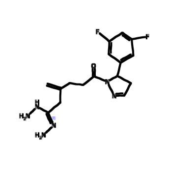 C=C(CCC(=O)N1N=CCC1c1cc(F)cc(F)c1)C/C(=N/N)NN